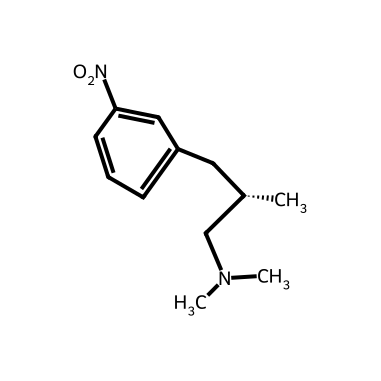 C[C@@H](Cc1cccc([N+](=O)[O-])c1)CN(C)C